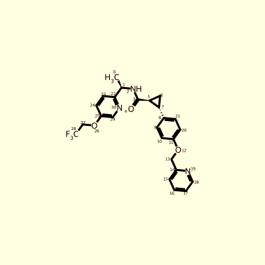 C[C@@H](NC(=O)[C@H]1C[C@@H]1c1ccc(OCc2ccccn2)cc1)c1ccc(OCC(F)(F)F)cn1